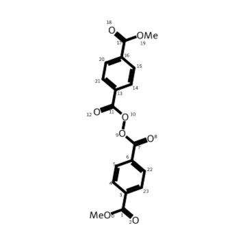 COC(=O)c1ccc(C(=O)OOC(=O)c2ccc(C(=O)OC)cc2)cc1